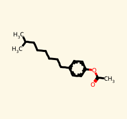 CC(=O)Oc1ccc(CCCCCCC(C)C)cc1